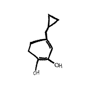 OC1=C(O)CCC(C2CC2)=C1